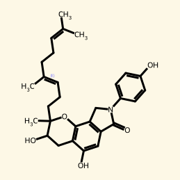 CC(C)=CCC/C(C)=C/CCC1(C)Oc2c(c(O)cc3c2CN(c2ccc(O)cc2)C3=O)CC1O